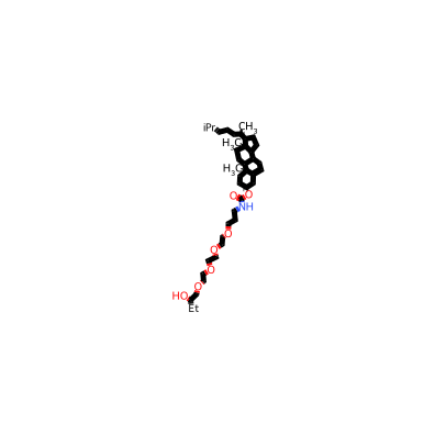 CCC(O)COCCOCCOCCOCCCNC(=O)O[C@@H]1CC[C@]2(C)C(=CCC3C4CCC([C@H](C)CCCC(C)C)[C@]4(C)CCC32)C1